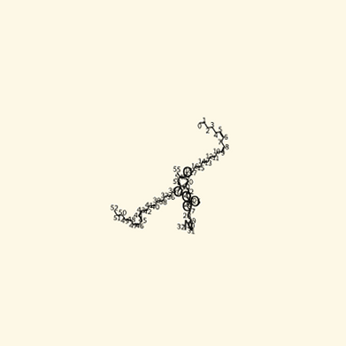 CCCCC/C=C\C/C=C\CCCCCCCCOc1cc(COC(=O)OCCCN(C)C)c(OCCCCCCCC/C=C\C/C=C\CCCCC)cc1C